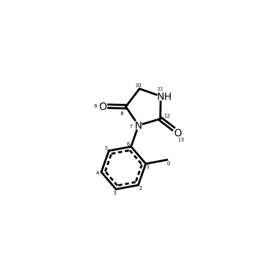 Cc1ccccc1N1C(=O)CNC1=O